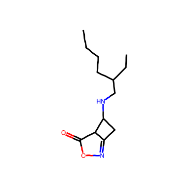 CCCCC(CC)CNC1CC2=NOC(=O)C21